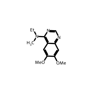 CCN(C)c1ncnc2cc(OC)c(OC)cc12